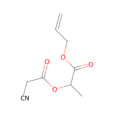 C=CCOC(=O)C(C)OC(=O)CC#N